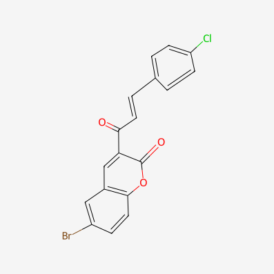 O=C(/C=C/c1ccc(Cl)cc1)c1cc2cc(Br)ccc2oc1=O